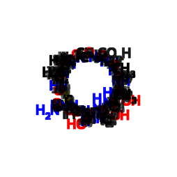 CCCC[C@H]1C(=O)N(C)CC(=O)N[C@@H](CC(=O)O)C(=O)N[C@@H](C(C)C)C(=O)N(C)[C@@H](Cc2ccccc2)C(=O)N[C@@H](Cc2ccc(O)cc2)C(=O)N(C)[C@@H](Cc2ccc(O)cc2)C(=O)N[C@@H](Cc2c[nH]c3ccccc23)C(=O)N[C@@H](Cc2ccc(O)cc2)C(=O)N[C@@H](CC(C)C)C(=O)N[C@H](C(=O)NCC(N)=O)CSCC(=O)N[C@@H](Cc2ccccc2)C(=O)N(C)[C@@H](Cc2ccccc2)C(=O)N1C